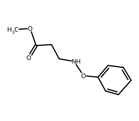 COC(=O)CCNOc1ccccc1